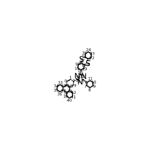 C1=CC(c2nc(-c3ccccc3)nc(-c3ccc4c(c3)Sc3ccccc3S4)n2)Cc2c1c1ccccc1c1ccccc21